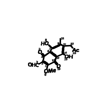 COC1=C(C=O)C(=O)c2c(O)c(C)c(CC(C)=O)c(O)c2C1=O